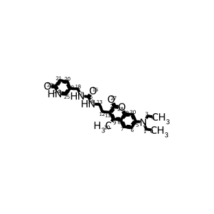 CCN(CC)c1ccc2c(C)c(CCNC(=O)NCc3ccc(=O)[nH]c3)c(=O)oc2c1